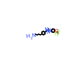 NCCCCc1ccc(-c2ncn(-c3ccc(OC(F)(F)F)cc3)n2)cc1